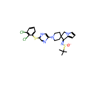 CC(C)(C)[S@@+]([O-])/N=C1\c2cccn2CC12CCN(c1cnc(Sc3cccc(Cl)c3Cl)cn1)CC2